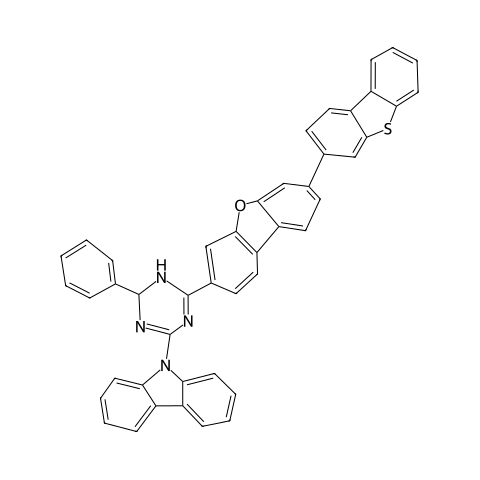 c1ccc(C2N=C(n3c4ccccc4c4ccccc43)N=C(c3ccc4c(c3)oc3cc(-c5ccc6c(c5)sc5ccccc56)ccc34)N2)cc1